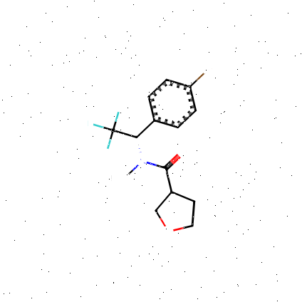 CN(C(=O)C1CCOC1)[C@@H](c1ccc(Br)cc1)C(F)(F)F